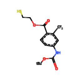 CC(C)(C)OC(=O)Nc1ccc(C(=O)OCCS)c(C(F)(F)F)c1